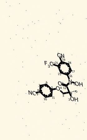 C[C@](O)(COc1ccc(C#N)cc1)C(=O)N(O)c1ccc(C#N)c(C(F)(F)F)c1